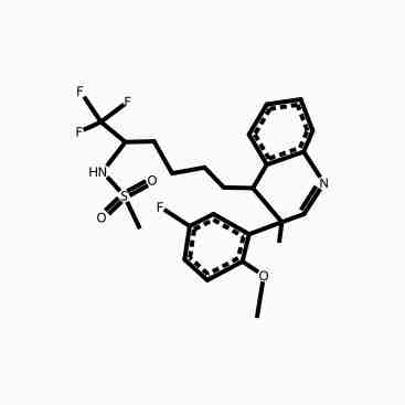 COc1ccc(F)cc1C1(C)C=Nc2ccccc2C1CCCCC(NS(C)(=O)=O)C(F)(F)F